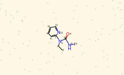 CCN(C(=O)NI)c1ccccn1